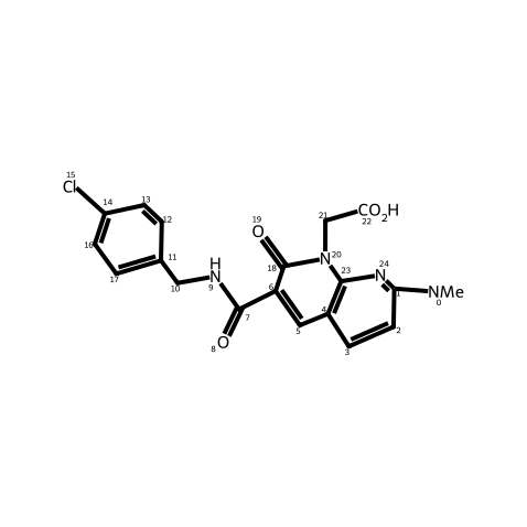 CNc1ccc2cc(C(=O)NCc3ccc(Cl)cc3)c(=O)n(CC(=O)O)c2n1